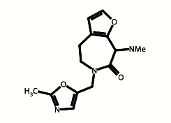 CNC1C(=O)N(Cc2cnc(C)o2)CCc2ccoc21